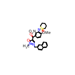 COc1ccc(C(=O)c2cn(Cc3ccc4ccccc4c3)n(C)c2=O)c([N+](=O)[O-])c1N=S1(=O)CCCCC1